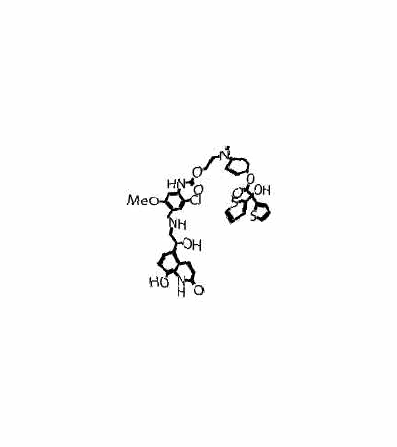 COc1cc(NC(=O)OCCN(C)C2CCC(OC(=O)C(O)(c3cccs3)c3cccs3)CC2)c(Cl)cc1CNC[C@@H](O)c1ccc(O)c2[nH]c(=O)ccc12